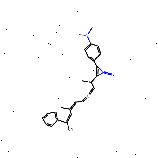 CC(=CC=C=CC(C)C1=C(c2ccc(N(C)C)cc2)[N+]1=[N-])C=C(C#N)c1ccccc1